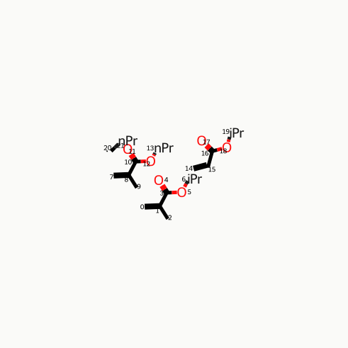 C=C(C)C(=O)OC(C)C.C=C(C)C(=O)OCCC.C=CC(=O)OC(C)C.[CH2]CCC